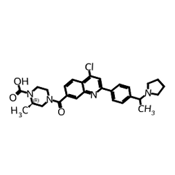 CC(c1ccc(-c2cc(Cl)c3ccc(C(=O)N4CCN(C(=O)O)[C@H](C)C4)cc3n2)cc1)N1CCCC1